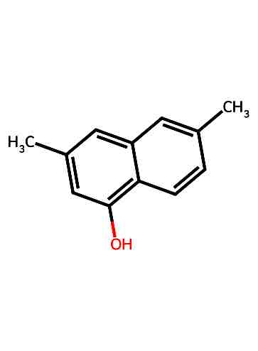 Cc1ccc2c(O)cc(C)cc2c1